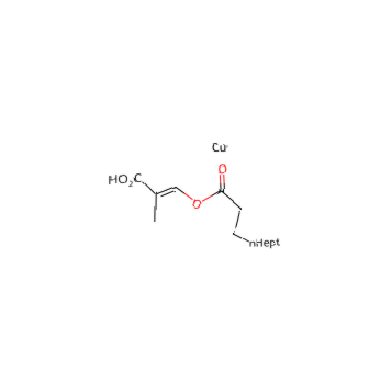 CCCCCCCCCC(=O)OC=C(C)C(=O)O.[Cu]